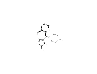 CN1CCN(C2=c3ncccc3=CNc3sc(C(C)(C)C)cc32)CC1